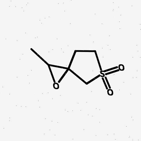 CC1OC12CCS(=O)(=O)C2